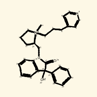 C[N+]1(CCCc2ccncc2)CCC[C@@H]1COC(=O)C(O)(c1ccccc1)c1ccccc1